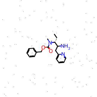 CC[C@H](C(N)Cc1ccccn1)N(C)C(=O)OCc1ccccc1